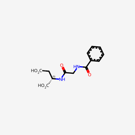 O=C(O)C[C@H](NC(=O)CNC(=O)c1ccccc1)C(=O)O